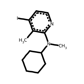 Cc1c(I)ccnc1N(C)C1CCCCC1